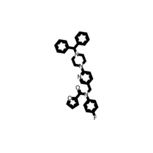 O=C(c1ccco1)N(Cc1ccc(N2CCN(C(c3ccccc3)c3ccccc3)CC2)nc1)c1ccc(F)cc1